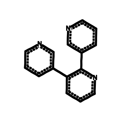 c1cncc(-c2cccnc2-c2cccnc2)c1